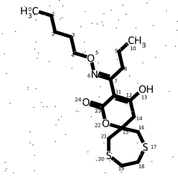 CCCCCON=C(CCC)C1=C(O)CC2(CSCCSC2)OC1=O